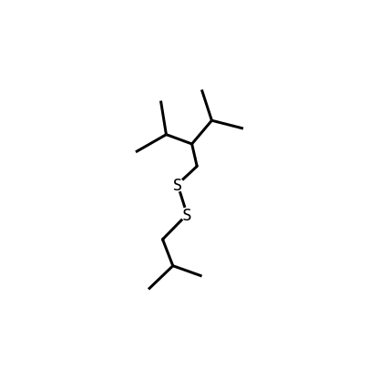 CC(C)CSSCC(C(C)C)C(C)C